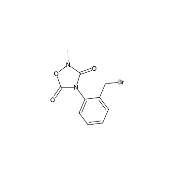 Cn1oc(=O)n(-c2ccccc2CBr)c1=O